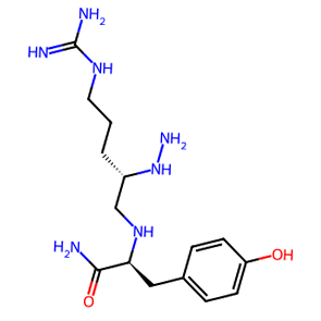 N=C(N)NCCC[C@@H](CN[C@@H](Cc1ccc(O)cc1)C(N)=O)NN